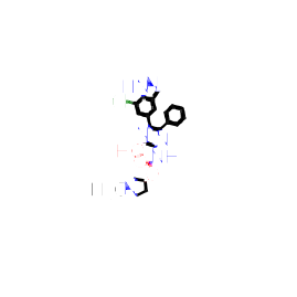 CN1CCC(OC(=O)Nc2nc(-c3ccccc3)c(-c3cc(Cl)c4[nH]ncc4c3)nc2O)C1